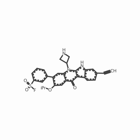 C#Cc1ccc2c(c1)[nH]c1c2c(=O)c2cc(OC(C)C)c(-c3cccc(S(=O)(=O)F)c3)cc2n1C1CNC1